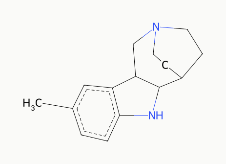 Cc1ccc2c(c1)C1CN3CCC(CC3)C1N2